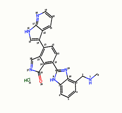 CNCc1cccc2[nH]c(-c3ccc(-c4c[nH]c5ncccc45)c4c3C(=O)N=C4)nc12.Cl